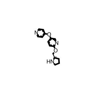 c1cc(Oc2ccc(OC[C@H]3CCCN3)nc2)ccn1